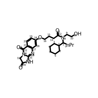 CCCC(C1CCCCC1)N(CCO)C(=O)CCCOc1ccc2c(=O)n3c(nc2c1)NC(=O)C3